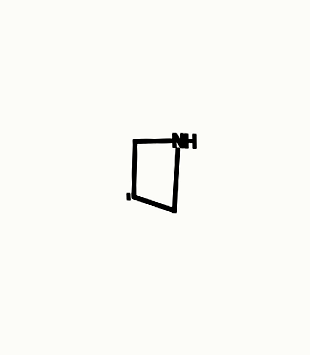 [C]1CNC1